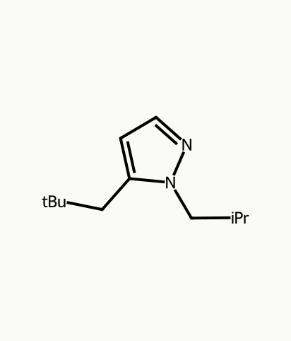 CC(C)Cn1nccc1CC(C)(C)C